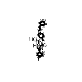 Cl.O=C(NCC1CCN(C/C=C/c2ccccc2)CC1)c1nc(-c2ccc(F)cc2F)c[nH]1